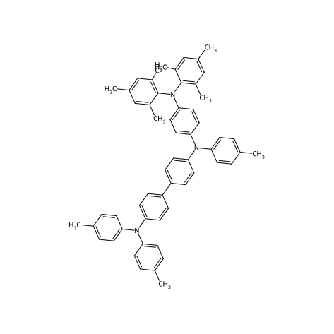 Cc1ccc(N(c2ccc(C)cc2)c2ccc(-c3ccc(N(c4ccc(C)cc4)c4ccc(N(c5c(C)cc(C)cc5C)c5c(C)cc(C)cc5C)cc4)cc3)cc2)cc1